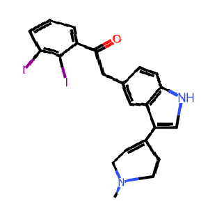 CN1CC=C(c2c[nH]c3ccc(CC(=O)c4cccc(I)c4I)cc23)CC1